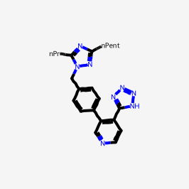 CCCCCc1nc(CCC)n(Cc2ccc(-c3cnccc3-c3nnn[nH]3)cc2)n1